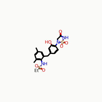 CCS(=O)(=O)Nc1c(C)cc(C)cc1Cc1ccc(N2CC(=O)NS2(=O)=O)c(O)c1